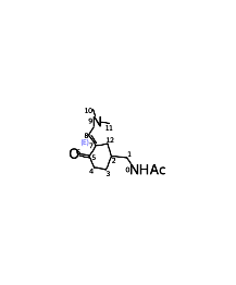 CC(=O)NCC1CCC(=O)/C(=C/N(C)C)C1